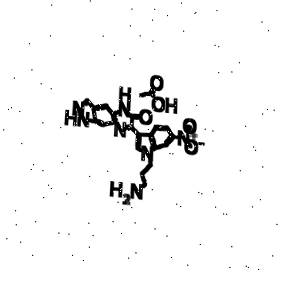 CC(=O)O.NCCCn1cc(-c2nc3cc4[nH]ncc4cc3[nH]c2=O)c2ccc([N+](=O)[O-])cc21